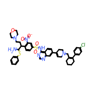 NC(Sc1ccccc1)C(CCN1CCOCC1)c1ccc(S(=O)(=O)Nc2ncnc3cc(C4=CCN(CC5=C(c6ccc(Cl)cc6)CCCC5)CC4)ccc23)cc1[N+](=O)[O-]